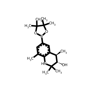 Cc1cc(B2OC(C)(C)C(C)(C)O2)cc2c1NC(C)(C)[C@@H](O)[C@@H]2C